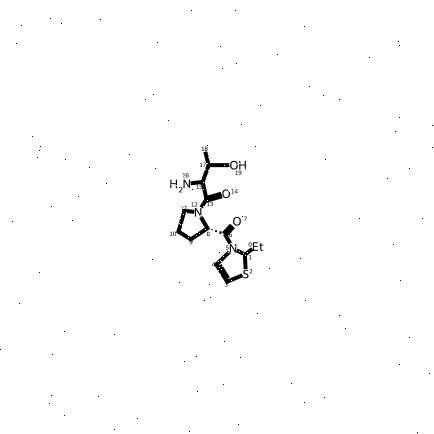 CCC1SC=CN1C(=O)[C@@H]1CCCN1C(=O)C(N)C(C)O